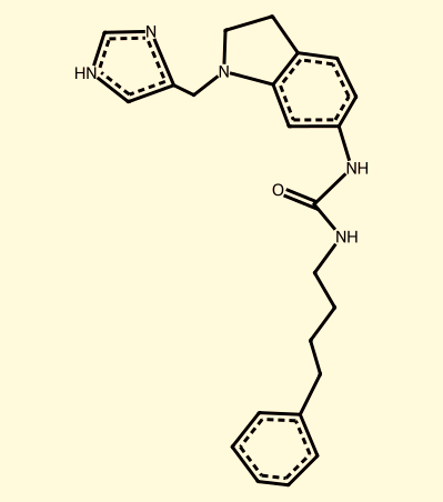 O=C(NCCCCc1ccccc1)Nc1ccc2c(c1)N(Cc1c[nH]cn1)CC2